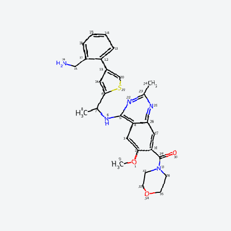 COc1cc2c(NC(C)c3cc(-c4ccccc4CN)cs3)nc(C)nc2cc1C(=O)N1CCOCC1